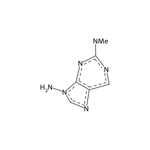 CNc1ncc2ncn(N)c2n1